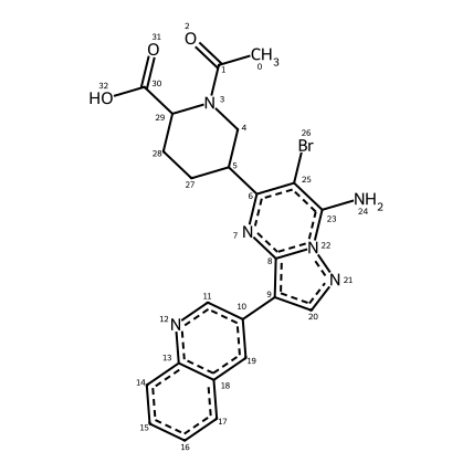 CC(=O)N1CC(c2nc3c(-c4cnc5ccccc5c4)cnn3c(N)c2Br)CCC1C(=O)O